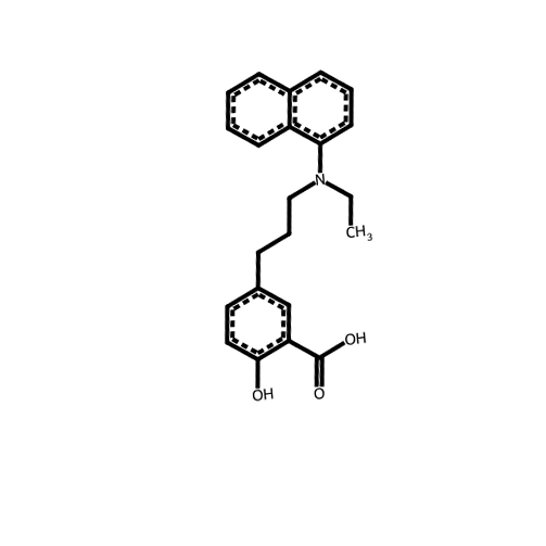 CCN(CCCc1ccc(O)c(C(=O)O)c1)c1cccc2ccccc12